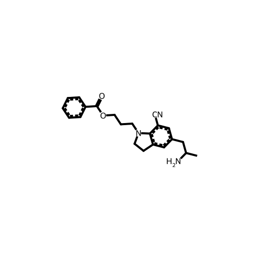 CC(N)Cc1cc(C#N)c2c(c1)CCN2CCCOC(=O)c1ccccc1